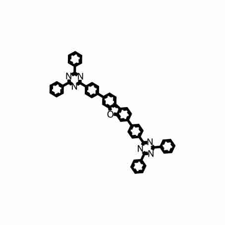 c1ccc(-c2nc(-c3ccccc3)nc(-c3ccc(-c4ccc5c(c4)oc4cc(-c6ccc(-c7nc(-c8ccccc8)nc(-c8ccccc8)n7)cc6)ccc45)cc3)n2)cc1